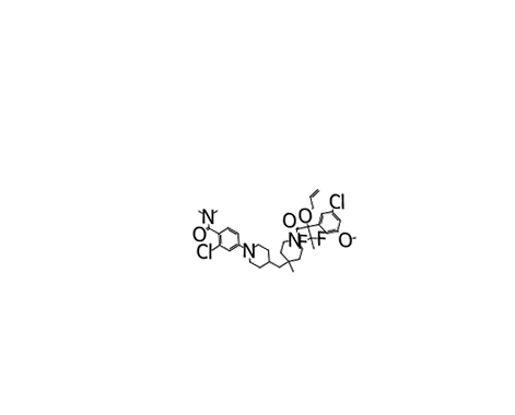 C=CCOC(C(=O)N1CCC(C)(CC2CCN(c3ccc(C(=O)N(C)C)c(Cl)c3)CC2)CC1)(c1cc(Cl)cc(OC)c1)C(C)(F)F